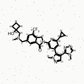 CN(Cc1cc2c(c(C(F)(F)F)c1)CN(c1cc(-c3c(-c4nncn4C)cnn3C)cc(C3CC3)n1)C2=O)CC1(O)CCC1